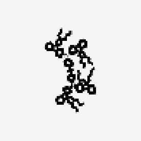 CCCCCCC1(CCCCC)c2ccccc2-c2ccc(N(c3ccc(C(C)(C)c4ccc(N(c5ccc6c(c5)C(CCCCC)(CCCCC)c5ccccc5-6)c5ccc6c(c5)C(CCCCC)(CCCCC)c5ccccc5-6)cc4)cc3)c3ccc4c(c3)C(CCCCC)(CCCCC)c3ccccc3-4)cc21